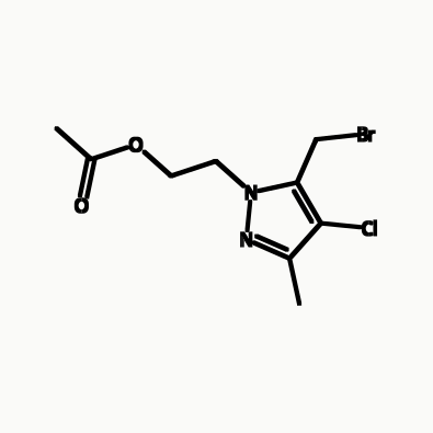 CC(=O)OCCn1nc(C)c(Cl)c1CBr